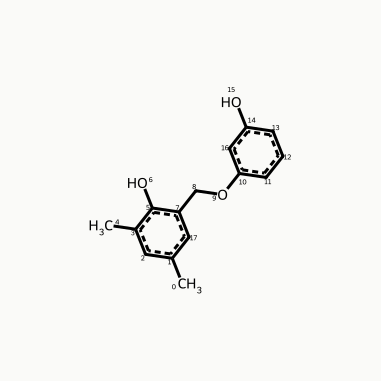 Cc1cc(C)c(O)c(COc2cccc(O)c2)c1